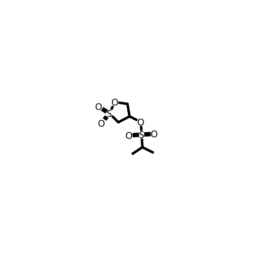 CC(C)S(=O)(=O)OC1COS(=O)(=O)C1